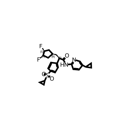 O=C(Nc1ccc(C2CC2)cn1)[C@H](C[C@H]1C[C@@H](F)[C@@H](F)C1)c1ccc(S(=O)(=O)C2CC2)cc1